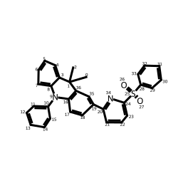 CC1(C)c2ccccc2N(c2ccccc2)c2ccc(-c3cccc(S(=O)(=O)c4ccccc4)n3)cc21